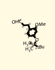 COc1cc(O[Si](C)(C)C(C)(C)C)ccc1CCC=O